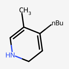 CCCCC1=CCNC=C1C